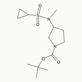 CN(C1CCN(C(=O)OC(C)(C)C)C1)S(=O)(=O)C1CC1